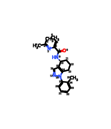 C/C=C(\N=C(C)C)C(=O)N[C@@H]1CCCc2c1cnn2-c1ccccc1C